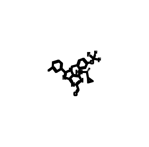 Cc1cccc(-c2nc3nc(C=O)nc(N[C@H](C)C4CC4)c3n2Cc2ccc(OC(F)(F)F)cc2)c1